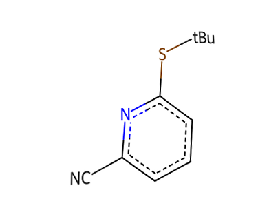 CC(C)(C)Sc1cccc(C#N)n1